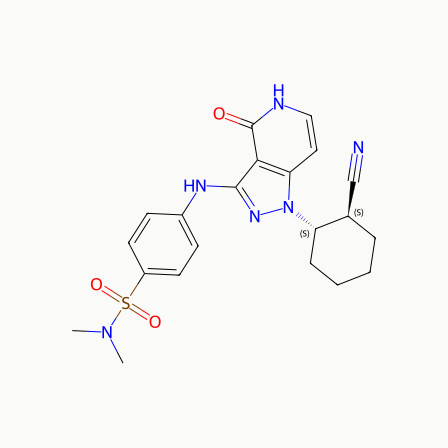 CN(C)S(=O)(=O)c1ccc(Nc2nn([C@H]3CCCC[C@@H]3C#N)c3cc[nH]c(=O)c23)cc1